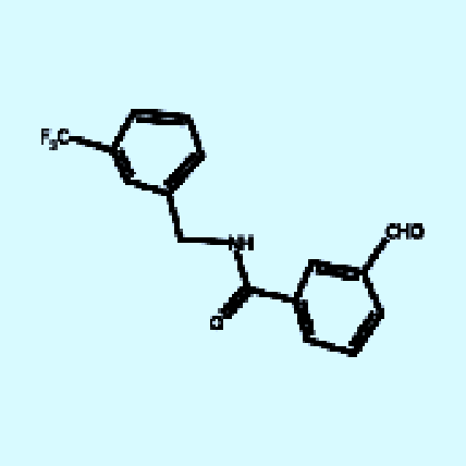 O=Cc1cccc(C(=O)NCc2cccc(C(F)(F)F)c2)c1